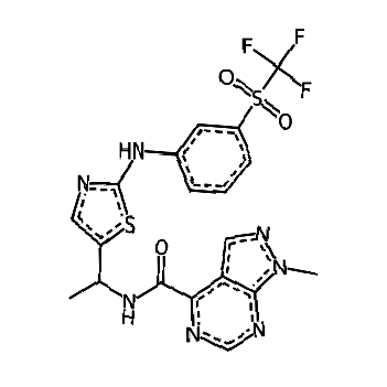 CC(NC(=O)c1ncnc2c1cnn2C)c1cnc(Nc2cccc(S(=O)(=O)C(F)(F)F)c2)s1